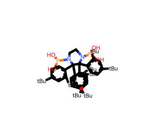 CC(C)(C)c1ccc(C2(c3ccc(C(C)(C)C)cc3C(C)(C)C)N(P(O)O)CCN(P(O)O)C2(c2ccc(C(C)(C)C)cc2C(C)(C)C)c2ccc(C(C)(C)C)cc2C(C)(C)C)c(C(C)(C)C)c1